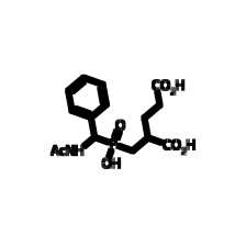 CC(=O)NC(c1ccccc1)P(=O)(O)CC(CCC(=O)O)C(=O)O